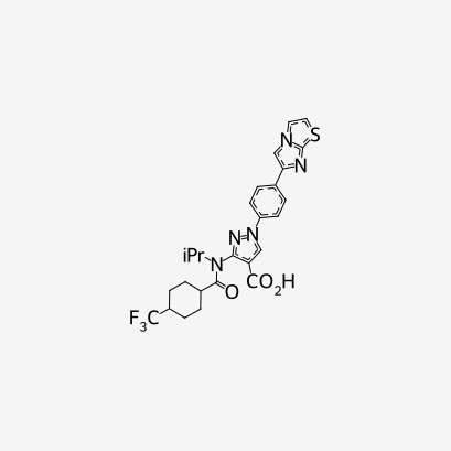 CC(C)N(C(=O)C1CCC(C(F)(F)F)CC1)c1nn(-c2ccc(-c3cn4ccsc4n3)cc2)cc1C(=O)O